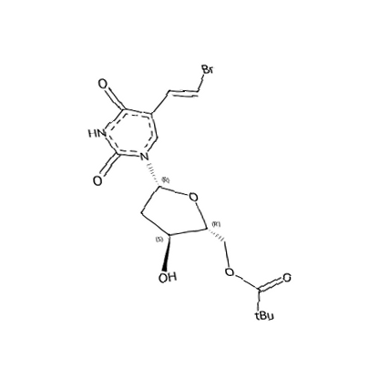 CC(C)(C)C(=O)OC[C@H]1O[C@@H](n2cc(C=CBr)c(=O)[nH]c2=O)C[C@@H]1O